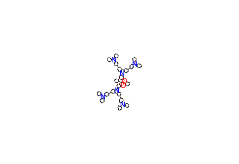 C1=CCCC(N(C2=CCCC=C2)C2=CCC(C3C=Cc4c(c5cc(-c6ccc(N(c7ccccc7)c7ccccc7)cc6)ccc5n4-c4ccc5c(c4)OC4(c6ccccc6)Oc6cc(-n7c8ccc(-c9ccc(N(c%10ccccc%10)c%10ccccc%10)cc9)cc8c8cc(-c9ccc(N(c%10ccccc%10)c%10ccccc%10)cc9)ccc87)ccc6C54c4ccccc4)C3)C=C2)=C1